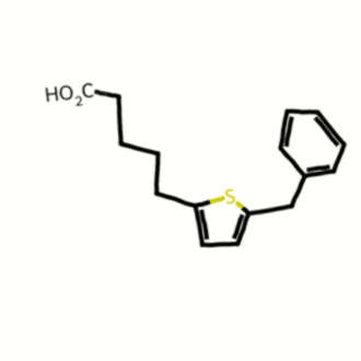 O=C(O)CCCCc1ccc(Cc2ccccc2)s1